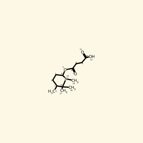 CC1CCC(OC(=O)CCC(=O)O)N(C)C1(C)C